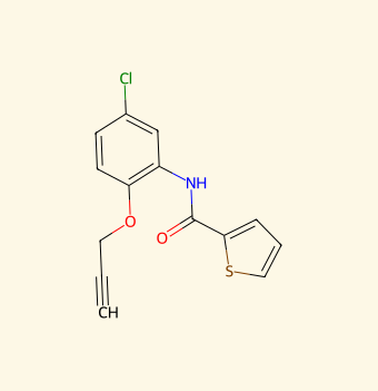 C#CCOc1ccc(Cl)cc1NC(=O)c1cccs1